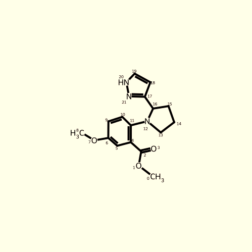 COC(=O)c1cc(OC)ccc1N1CCCC1c1cc[nH]n1